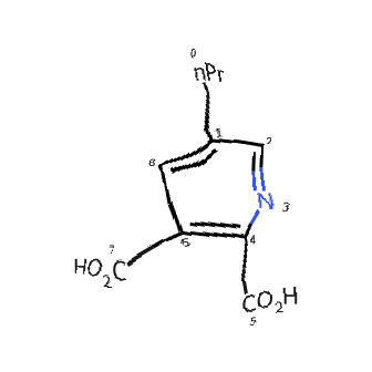 CCCc1cnc(C(=O)O)c(C(=O)O)c1